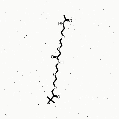 CC(=O)NCCOCCOCC(=O)NCCOCCOCC(=O)C(C)(C)C